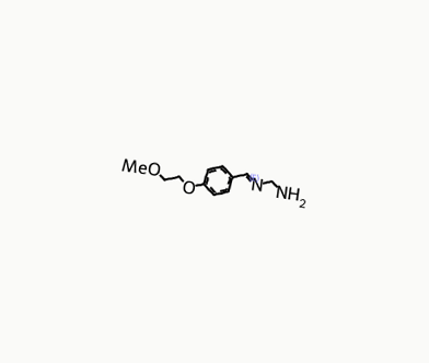 COCCOc1ccc(/C=N/CN)cc1